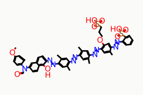 COc1ccc(N(C=O)c2ccc3c(O)c(N=Nc4cc(C)c(N=Nc5cc(C)c(N=Nc6cc(C)c(N=Nc7ccccc7S(=O)(=O)O)cc6OCCCS(=O)(=O)O)cc5C)cc4C)ccc3c2)cc1